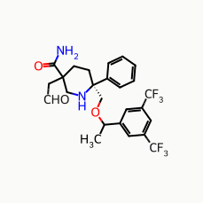 CC(OC[C@@]1(c2ccccc2)CCC(CC=O)(C(N)=O)CN1)c1cc(C(F)(F)F)cc(C(F)(F)F)c1